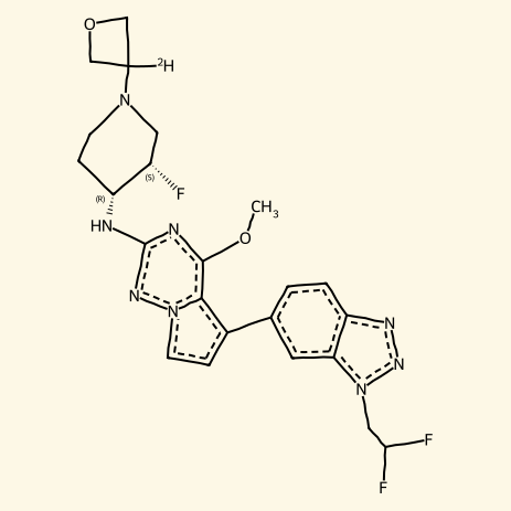 [2H]C1(N2CC[C@@H](Nc3nc(OC)c4c(-c5ccc6nnn(CC(F)F)c6c5)ccn4n3)[C@@H](F)C2)COC1